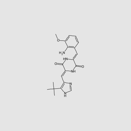 COc1cccc(/C=c2\[nH]c(=O)/c(=C/c3nc[nH]c3C(C)(C)C)[nH]c2=O)c1N